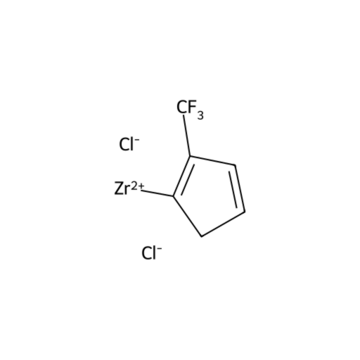 FC(F)(F)C1=[C]([Zr+2])CC=C1.[Cl-].[Cl-]